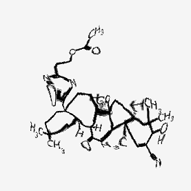 CC(=O)OCCc1noc([C@]23CCC(C)(C)C[C@H]2[C@H]2C(=O)C=C4[C@@]5(C)C=C(C#N)C(O)C(C)(C)[C@@H]5CC[C@@]4(C)[C@]2(C)CC3)n1